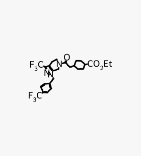 CCOC(=O)C1CCC(CC(=O)N2CCc3c(C(F)(F)F)nn(Cc4ccc(C(F)(F)F)cc4)c3C2)CC1